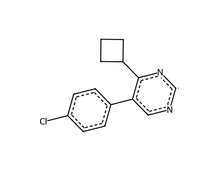 Clc1ccc(-c2cn[c]nc2C2CCC2)cc1